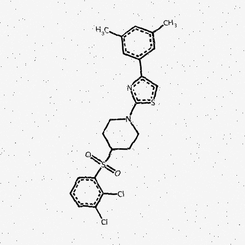 Cc1cc(C)cc(-c2csc(N3CCC(S(=O)(=O)c4cccc(Cl)c4Cl)CC3)n2)c1